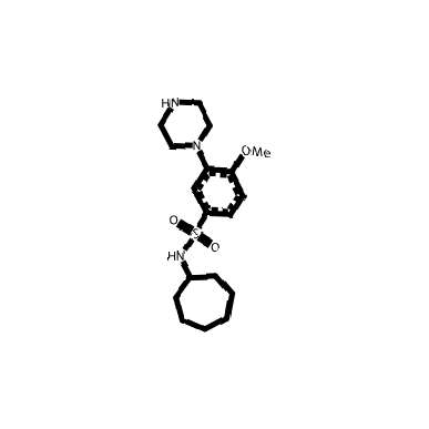 COc1ccc(S(=O)(=O)NC2CCCCCC2)cc1N1CCNCC1